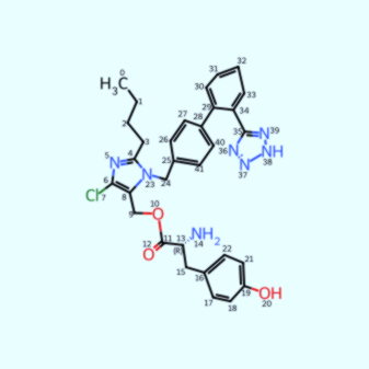 CCCCc1nc(Cl)c(COC(=O)[C@H](N)Cc2ccc(O)cc2)n1Cc1ccc(-c2ccccc2-c2nn[nH]n2)cc1